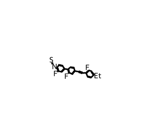 CCc1ccc(C#Cc2ccc(-c3ccc(N=C=S)c(F)c3)c(F)c2)c(F)c1